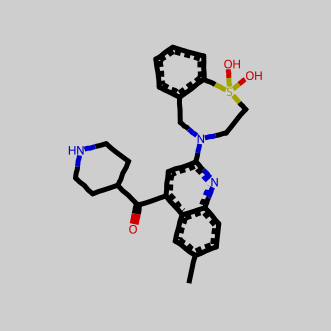 Cc1ccc2nc(N3CCS(O)(O)c4ccccc4C3)cc(C(=O)C3CCNCC3)c2c1